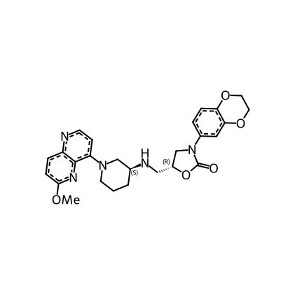 COc1ccc2nccc(N3CCC[C@H](NC[C@@H]4CN(c5ccc6c(c5)OCCO6)C(=O)O4)C3)c2n1